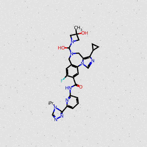 CC(C)n1cnnc1-c1cccc(NC(=O)c2cc3c(cc2F)CN(C(O)N2CC(C)(O)C2)Cc2c(C4CC4)ncn2-3)n1